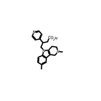 Cc1ccc2c(c1)c1c(n2CC(CC(=O)O)c2ccncc2)CCN(C)C1